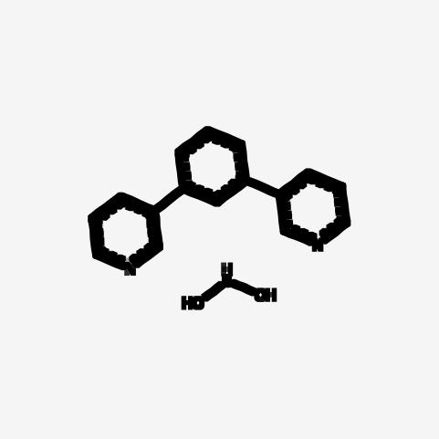 OBO.c1cncc(-c2cccc(-c3cccnc3)c2)c1